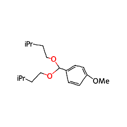 COc1ccc(C(OCCC(C)C)OCCC(C)C)cc1